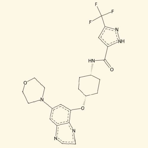 O=C(N[C@H]1CC[C@@H](Oc2cc(N3CCOCC3)cc3nccnc23)CC1)c1cc(C(F)(F)F)n[nH]1